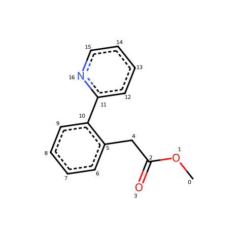 COC(=O)Cc1ccccc1-c1ccccn1